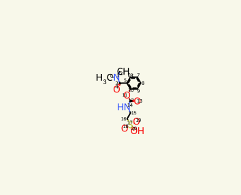 CN(C)C(=O)c1ccccc1OC(=O)NCCS(=O)(=O)O